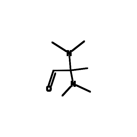 CN(C)C(C)(C=O)N(C)C